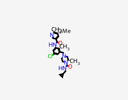 COc1cc(C(=O)Nc2cc(Cl)cc(CN3CCN(C(=O)NCC4CC4)[C@@H](C)C3)c2C)cnc1C